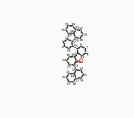 c1cc2c(c(-c3cccc4oc5c(-c6cccc7ccccc67)cccc5c34)c1)-c1cccc3cccc-2c13